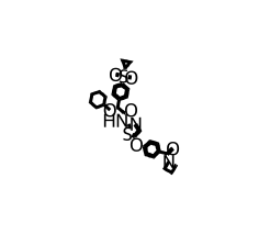 O=C(Nc1ncc(Oc2ccc(C(=O)N3CCC3)cc2)s1)C(OC1CCCCC1)c1ccc(S(=O)(=O)C2CC2)cc1